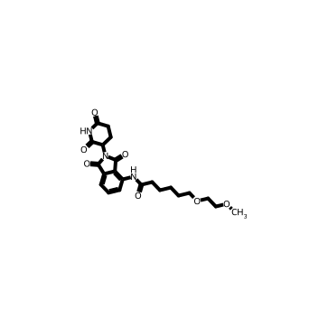 COCCOCCCCCC(=O)Nc1cccc2c1C(=O)N(C1CCC(=O)NC1=O)C2=O